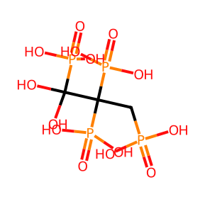 O=P(O)(O)CC(C(O)(O)P(=O)(O)O)(P(=O)(O)O)P(=O)(O)O